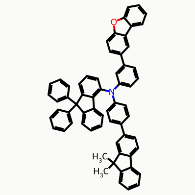 CC1(C)c2ccccc2-c2ccc(-c3ccc(N(c4cccc(-c5ccc6oc7ccccc7c6c5)c4)c4cccc5c4-c4ccccc4C5(c4ccccc4)c4ccccc4)cc3)cc21